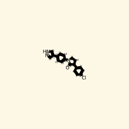 O=C1C(c2ccc(Cl)cc2)CCN1c1ccc(-c2cn[nH]c2)cc1